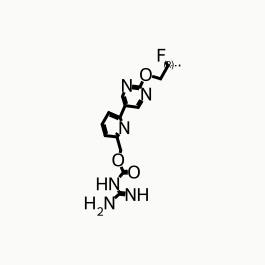 C[C@@H](F)COc1ncc(-c2cccc(COC(=O)NC(=N)N)n2)cn1